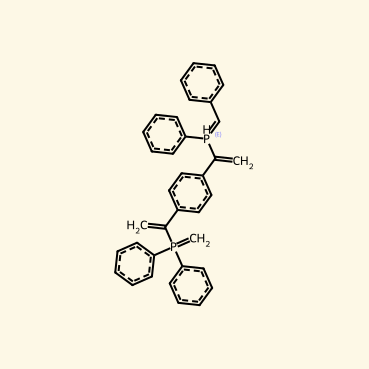 C=C(c1ccc(C(=C)P(=C)(c2ccccc2)c2ccccc2)cc1)/[PH](=C/c1ccccc1)c1ccccc1